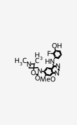 COc1cc2ncnc(Nc3cccc(O)c3F)c2cc1N1CC2(CN(C)[C@@H]2C)OC1=O